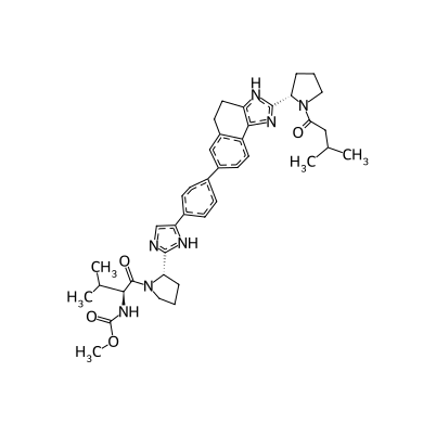 COC(=O)N[C@H](C(=O)N1CCC[C@H]1c1ncc(-c2ccc(-c3ccc4c(c3)CCc3[nH]c([C@@H]5CCCN5C(=O)CC(C)C)nc3-4)cc2)[nH]1)C(C)C